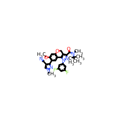 COc1cc2c(cc1-c1nn(C)cc1C#N)-c1c(c(C(=O)N(C)C(C)(C)C)nn1-c1cc(F)cc(F)c1)CO2